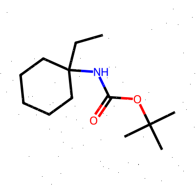 CCC1(NC(=O)OC(C)(C)C)CCCCC1